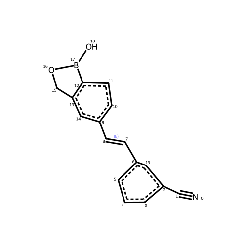 N#Cc1cccc(/C=C/c2ccc3c(c2)COB3O)c1